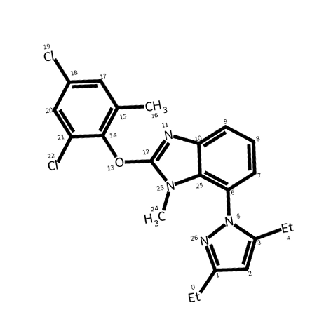 CCc1cc(CC)n(-c2cccc3nc(Oc4c(C)cc(Cl)cc4Cl)n(C)c23)n1